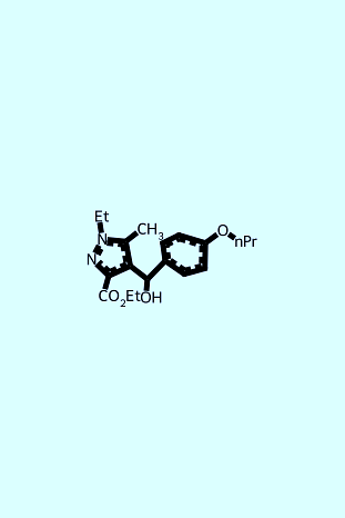 CCCOc1ccc(C(O)c2c(C(=O)OCC)nn(CC)c2C)cc1